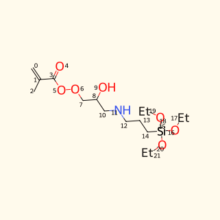 C=C(C)C(=O)OOCC(O)CNCCC[Si](OCC)(OCC)OCC